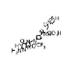 Nc1nc2ncc(CN(C(=O)C(F)(F)F)c3ccc(C(=O)N[C@@H](CCC(=O)N4CCNCC4)C(=O)O)cc3)nc2c(=O)[nH]1